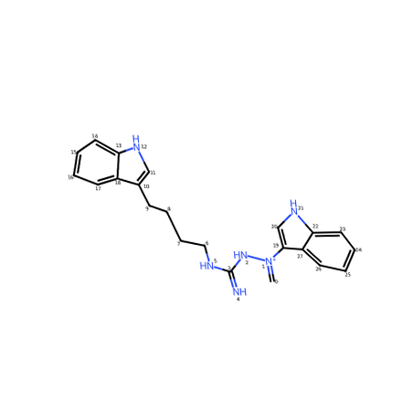 C=[N+](NC(=N)NCCCCc1c[nH]c2ccccc12)c1c[nH]c2ccccc12